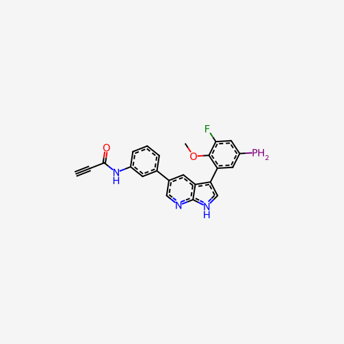 C#CC(=O)Nc1cccc(-c2cnc3[nH]cc(-c4cc(P)cc(F)c4OC)c3c2)c1